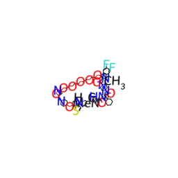 C=C[C@H](NC)C(=O)N[C@H](C(=O)N1CCN(C(=O)c2c(OCCOCCOCCOCCOc3cc(CN4CCC(Oc5ccnc6ccsc56)CC4)on3)c3cc(F)c(F)cc3n2C)CC1)C1CCCCC1